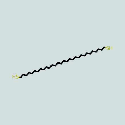 SCCCCCCCCCC=CCCCCCCCCCCCCCCCCCCCS